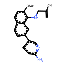 C=C(C#N)CNc1c(OC)ccc2ccc(-c3ccc(N)nc3)cc12